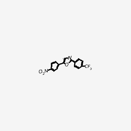 O=[N+]([O-])c1ccc(-c2[c]nc(-c3ccc(C(F)(F)F)cc3)o2)cc1